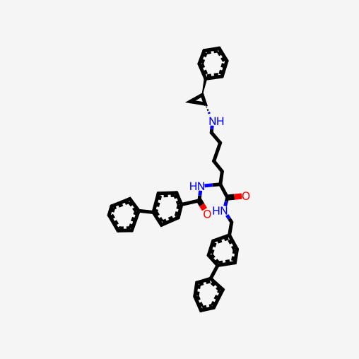 O=C(NC(CCCCN[C@@H]1C[C@H]1c1ccccc1)C(=O)NCc1ccc(-c2ccccc2)cc1)c1ccc(-c2ccccc2)cc1